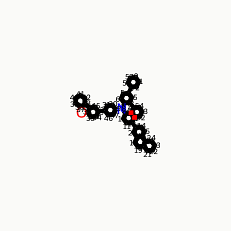 c1ccc(-c2ccc(N(c3ccc(-c4ccc5c(ccc6ccccc65)c4)cc3)c3ccc(-c4ccc5oc6ccccc6c5c4)cc3)c(-c3ccccc3)c2)cc1